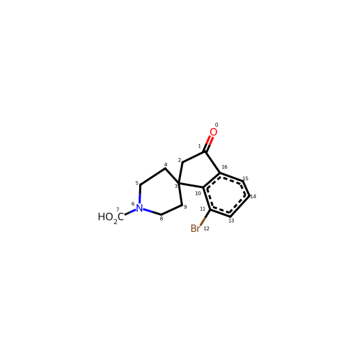 O=C1CC2(CCN(C(=O)O)CC2)c2c(Br)cccc21